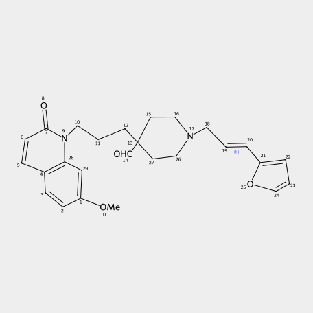 COc1ccc2ccc(=O)n(CCCC3(C=O)CCN(C/C=C/c4ccco4)CC3)c2c1